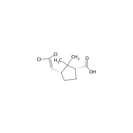 CC1(C)[C@@H](C=C(Cl)Cl)CC[C@H]1C(=O)O